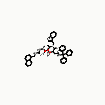 CCOC(OCC)C(C)N(Cc1csc2ccccc12)C(=O)C(CC(=O)NC(c1ccccc1)(c1ccccc1)c1ccccc1)NC(=O)CN(C)NC(=O)NCc1cccc2ccccc12